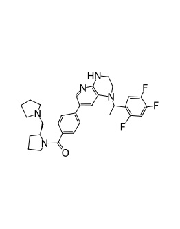 CC(c1cc(F)c(F)cc1F)N1CCNc2ncc(-c3ccc(C(=O)N4CCC[C@H]4CN4CCCC4)cc3)cc21